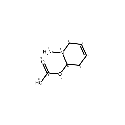 NN1CC=CCC1OC(=O)O